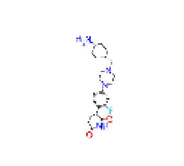 N[C@H]1CC[C@H](CN2CCN(c3ccc(C4CCC(=O)NC4=O)c(F)c3)CC2)CC1